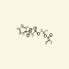 C=C(C)C(=O)OC(C)COC(=O)CS(=O)(=O)c1ccccc1